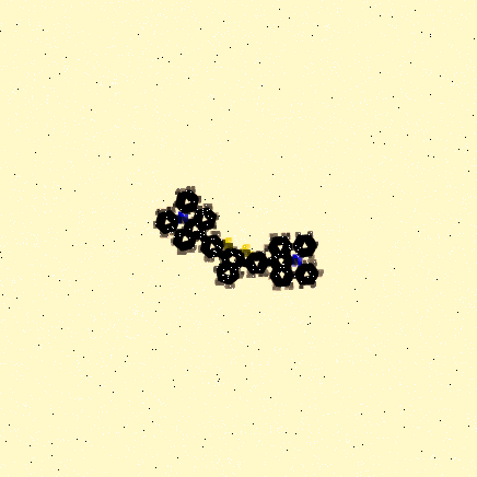 c1ccc(N(c2ccccc2)c2c3ccccc3c(-c3ccc4c(c3)sc3c5sc6cc(-c7c8ccccc8c(N(c8ccccc8)c8ccccc8)c8ccccc78)ccc6c5c5ccccc5c43)c3ccccc23)cc1